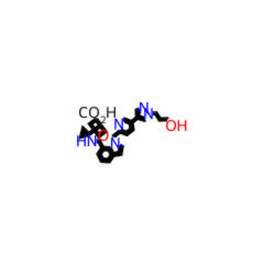 O=C(NC1(C23CCC2C(C(=O)O)C3)CC1)c1cccc2ccn(Cc3ccc(-c4cnn(CCCO)c4)cn3)c12